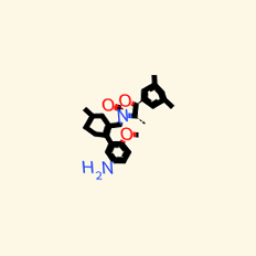 COc1ccc(N)cc1C1=C(CN2C(=O)O[C@H](c3cc(C)cc(C)c3)[C@@H]2C)CC(C)CC1